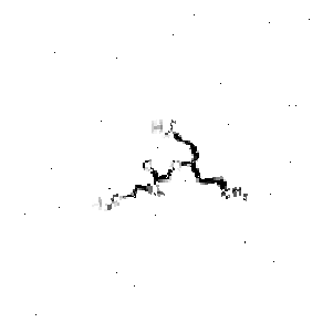 C=C/C=C\C(=C/C=C)OCC(=O)NCCC